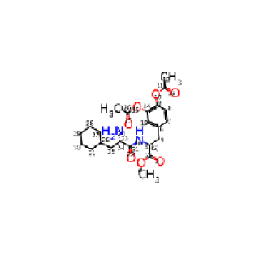 COC(=O)[C@H](Cc1ccc(OC(C)=O)c(OC(C)=O)c1)NC(=O)[C@@H](N)CC1CCCCC1